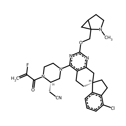 C=C(F)C(=O)N1CCN(c2nc(OCC34CC3CCN4C)nc3c2CC[C@@]2(CCc4c(Cl)cccc42)C3)C[C@@H]1CC#N